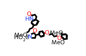 COCCCC(OC1CN(C(=O)O)CCC1c1ccc(OCCCCOc2c(OC)cccc2OC)cc1)c1ccc2c(c1)NC(=O)CC2